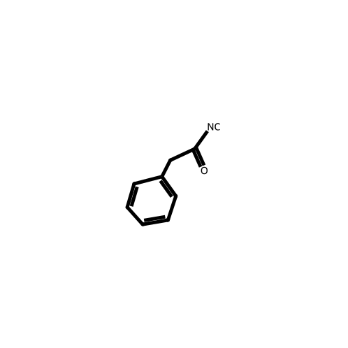 [C-]#[N+]C(=O)Cc1ccccc1